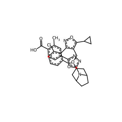 Cc1cc(-c2nnc(N3C4CCC3CC(OCc3c(-c5c(Cl)cccc5Cl)noc3C3CC3)C4)o2)ccc1C(=O)O